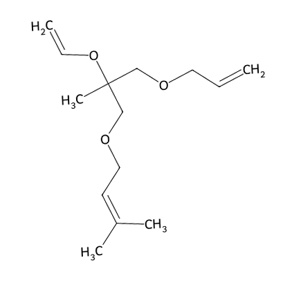 C=CCOCC(C)(COCC=C(C)C)OC=C